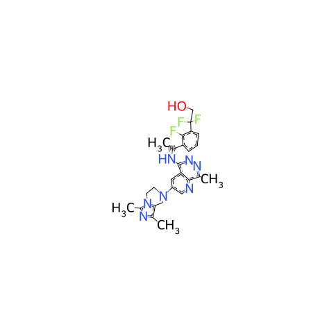 Cc1nc(C)n2c1CN(c1cnc3c(C)nnc(N[C@H](C)c4cccc(C(F)(F)CO)c4F)c3c1)CC2